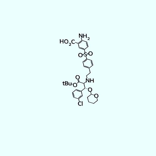 CC(C)(C)OC(=O)C(NCCc1ccc(S(=O)(=O)c2ccc(N)c(C(=O)O)c2)cc1)[C@H](OC1CCCCO1)c1cccc(Cl)c1